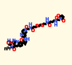 CCCN(CCO)C(=O)C1=Cc2ccc(C3(C(=O)Nc4cnc5c(c4)CN(C(=O)CNC(=O)CCOCCOCCNC(=O)CCCNC(=O)CN4C(=O)C=CC4=O)CC5)CC3)cc2N=C(N)C1